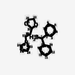 BC(c1ccccc1)c1ccccc1.c1cn(CCC2OCCO2)cn1